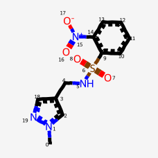 Cn1cc(CNS(=O)(=O)c2ccccc2[N+](=O)[O-])cn1